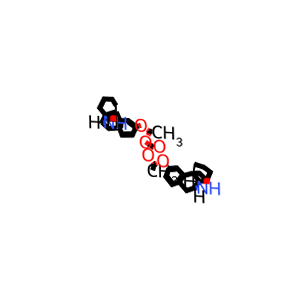 CC(OC(=O)OC(C)Oc1ccc2c(c1)[C@@]13CCCC[C@H]1[C@@H](C2)NCC3)Oc1ccc2c(c1)[C@@]13CCCC[C@H]1[C@@H](C2)NCC3